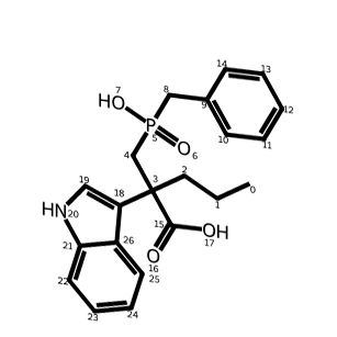 CCCC(CP(=O)(O)Cc1ccccc1)(C(=O)O)c1c[nH]c2ccccc12